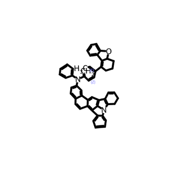 C=C(/C=C\C(=C/C)C1=C2c3ccccc3OC2CCC1)N(c1ccccc1)c1ccc2ccc3c(cc4c5c(n6c7ccccc7c3c46)CCC=C5)c2c1